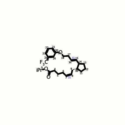 CC(C)OC(=O)CCC/C=C\C[C@H]1CCCC1/C=C/CCOc1cccc(C(F)(F)F)c1